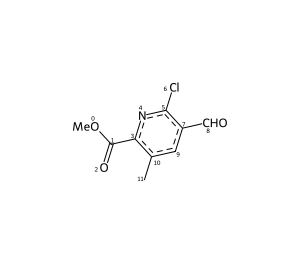 COC(=O)c1nc(Cl)c(C=O)cc1C